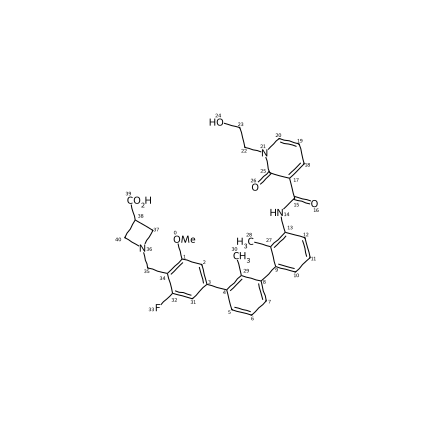 COc1cc(-c2cccc(-c3cccc(NC(=O)c4cccn(CCO)c4=O)c3C)c2C)cc(F)c1CN1CC(C(=O)O)C1